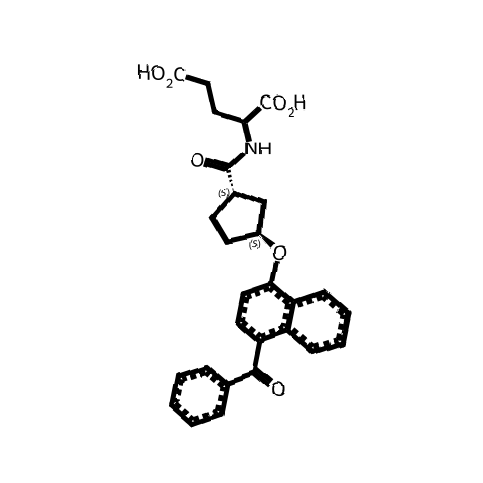 O=C(O)CCC(NC(=O)[C@H]1CC[C@H](Oc2ccc(C(=O)c3ccccc3)c3ccccc23)C1)C(=O)O